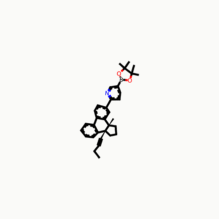 CCC#C[C@]12CCC[C@@]1(C)c1cc(-c3ccc(B4OC(C)(C)C(C)(C)O4)cn3)ccc1-c1ccccc12